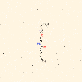 C#CCCCC(=O)NCCO/C=C/CC(=O)O